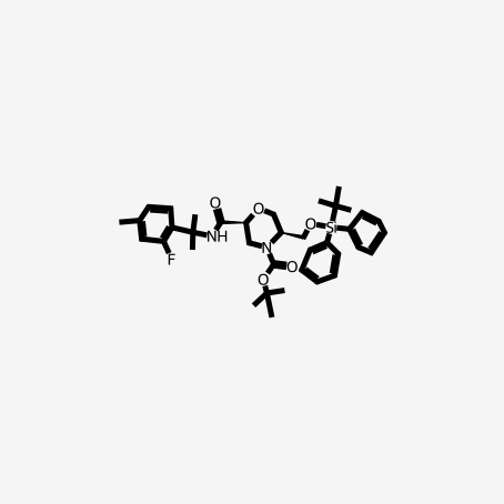 Cc1ccc(C(C)(C)NC(=O)[C@@H]2CN(C(=O)OC(C)(C)C)[C@H](CO[Si](c3ccccc3)(c3ccccc3)C(C)(C)C)CO2)c(F)c1